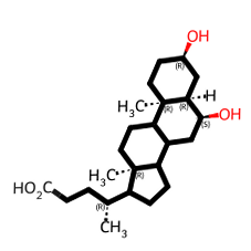 C[C@H](CCC(=O)O)C1CCC2C3C[C@H](O)[C@@H]4C[C@H](O)CC[C@]4(C)C3CC[C@@]21C